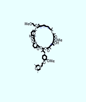 COCCOC1C[C@@H]2CC[C@@H](C)[C@@](O)(O2)C(=O)C(=O)N2CCCCC2C(=O)O[C@H]([C@H](C)C[C@@H]2CC[C@@H](OCCN3C[C@@H](C)O[C@@H](C)C3)[C@H](OC)C2)CC(=O)[C@H](C)/C=C(\C)[C@@H](O)[C@@H](OC)C(=O)[C@H](C)C[C@H](C)/C=C/C=C/C=C/1C